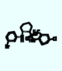 O=S(=O)(Nc1ccc(Cl)cc1C(F)(F)F)C1CCCCC1Nc1cccc(Br)c1